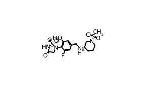 CS(=O)(=O)N1CCC[C@H](NCc2cc(O)c(N3CC(=O)NS3(=O)=O)c(F)c2)C1